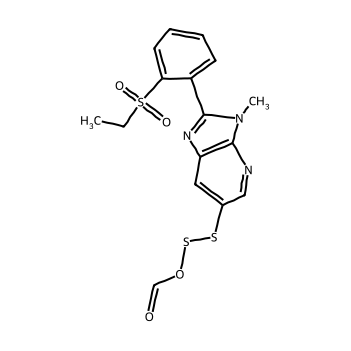 CCS(=O)(=O)c1ccccc1-c1nc2cc(SSOC=O)cnc2n1C